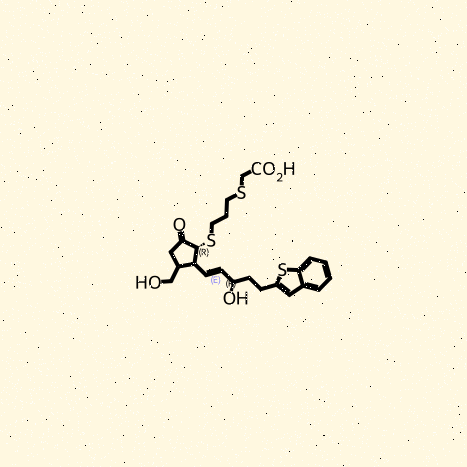 O=C(O)CSCCCS[C@H]1C(=O)CC(CO)C1/C=C/[C@H](O)CCc1cc2ccccc2s1